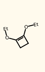 CCOC1=C(OCC)CC1